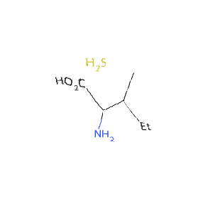 CCC(C)C(N)C(=O)O.S